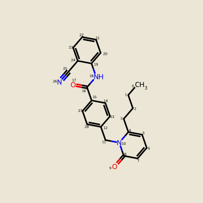 CCCCc1cccc(=O)n1Cc1ccc(C(=O)Nc2ccccc2C#N)cc1